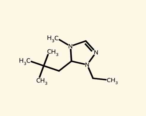 CCN1N=CN(C)C1CC(C)(C)C